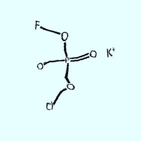 O=P([O-])(OF)OCl.[K+]